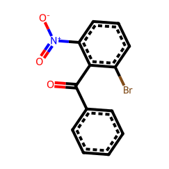 O=C(c1ccccc1)c1c(Br)cccc1[N+](=O)[O-]